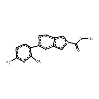 CC(C)(C)OC(=O)n1cc2ccc(-c3ccc(N)nc3C(F)(F)F)cc2c1